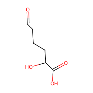 O=CCCCC(O)C(=O)O